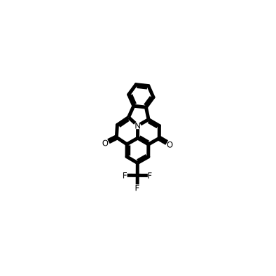 O=c1cc2c3ccccc3c3cc(=O)c4cc(C(F)(F)F)cc1c4n23